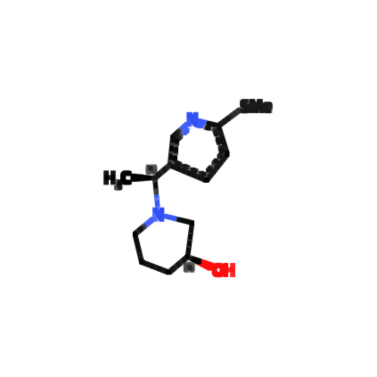 CSc1ccc([C@H](C)N2CCC[C@H](O)C2)cn1